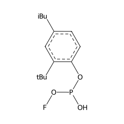 CCC(C)c1ccc(OP(O)OF)c(C(C)(C)C)c1